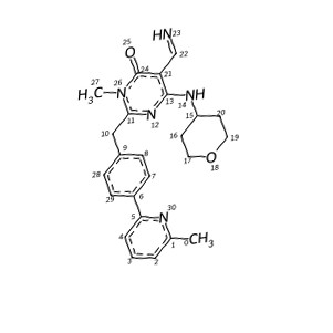 Cc1cccc(-c2ccc(Cc3nc(NC4CCOCC4)c(C=N)c(=O)n3C)cc2)n1